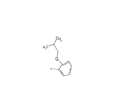 CC(C)COc1cc[c]cc1I